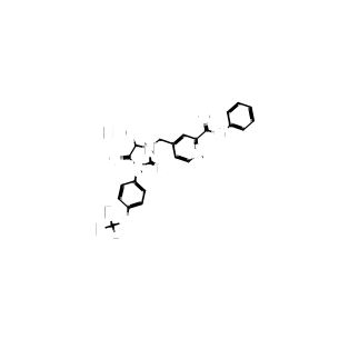 CC1C(=O)N(c2ccc(SC(F)(F)F)cc2)C(=O)N1Cc1ccnc(C(=O)Oc2ccccc2)c1